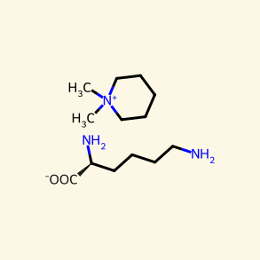 C[N+]1(C)CCCCC1.NCCCC[C@H](N)C(=O)[O-]